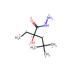 CCC(O)(CC(C)(C)C)C(=O)NN